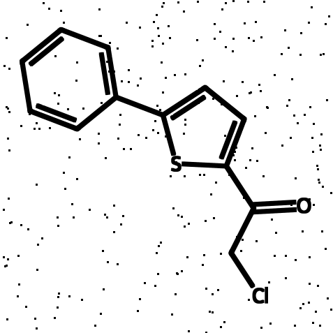 O=C(CCl)c1ccc(-c2ccccc2)s1